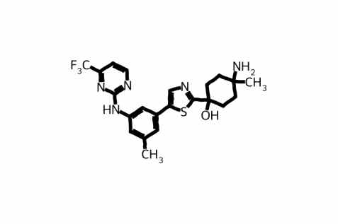 Cc1cc(Nc2nccc(C(F)(F)F)n2)cc(-c2cnc(C3(O)CCC(C)(N)CC3)s2)c1